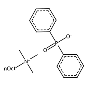 CCCCCCCC[N+](C)(C)C.O=P([O-])(c1ccccc1)c1ccccc1